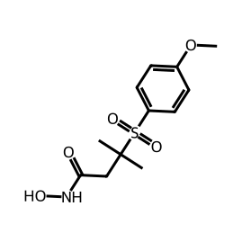 COc1ccc(S(=O)(=O)C(C)(C)CC(=O)NO)cc1